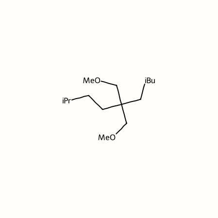 CCC(C)CC(CCC(C)C)(COC)COC